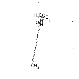 CCC=CCC=CCC=CCC=CCC=CCC=CCCC(=O)NCC(C)(C)O